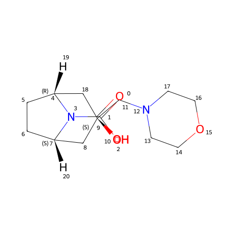 O=C(O)N1[C@@H]2CC[C@H]1C[C@@](O)(CN1CCOCC1)C2